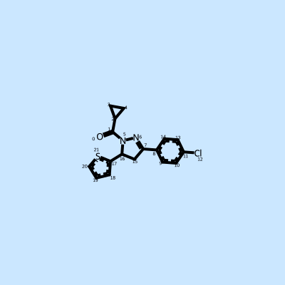 O=C(C1CC1)N1N=C(c2ccc(Cl)cc2)CC1c1cccs1